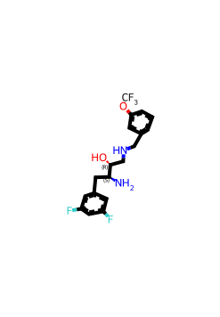 N[C@@H](Cc1cc(F)cc(F)c1)[C@H](O)CNCc1cccc(OC(F)(F)F)c1